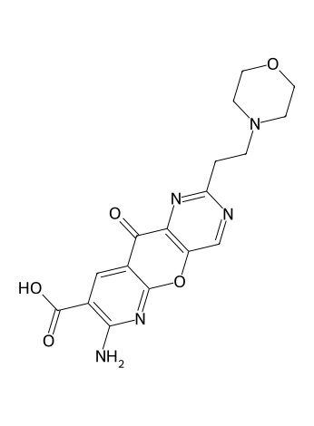 Nc1nc2oc3cnc(CCN4CCOCC4)nc3c(=O)c2cc1C(=O)O